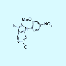 COc1cc([N+](=O)[O-])ccc1-n1nc(I)c2cnc(Cl)cc21